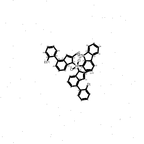 CCc1ccccc1-c1cccc2c1C=C(C(C)C)[CH]2[Hf]([Cl])([Cl])([c]1cccc2c1[SiH2]c1ccccc1-2)[CH]1C(C(C)C)=Cc2c(-c3ccccc3CC)cccc21